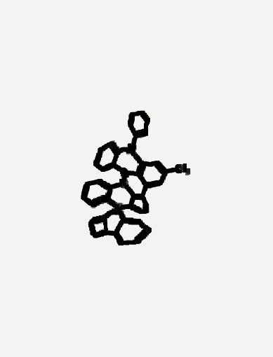 Cc1cc2c3c(c1)N(c1ccccc1)c1ccccc1B3N1c3ccccc3S3(c4ccccc4-c4ccccc43)c3cccc-2c31